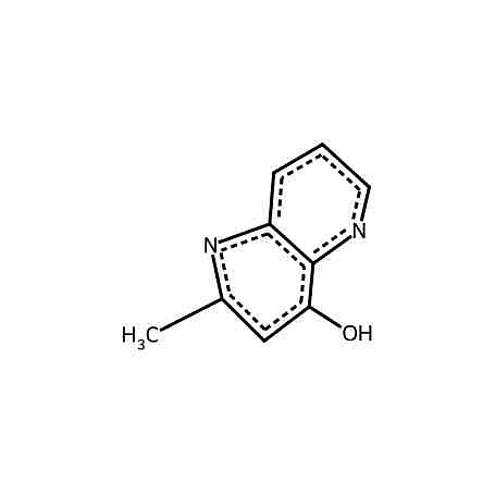 Cc1cc(O)c2ncccc2n1